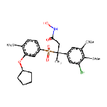 COc1ccc(S(=O)(=O)C(C)(CC(=O)NO)c2cc(Br)c(OC)c(OC)c2)cc1OC1CCCC1